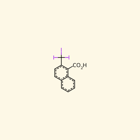 O=C(O)c1c(C(I)(I)I)ccc2ccccc12